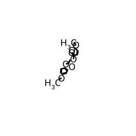 CCOc1ccc(OC(=O)COC(=O)/C=C\C(=O)OC)cc1